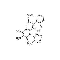 COc1cccc(F)c1-c1c(F)cc2c(Cl)c([N+](=O)[O-])c(=O)n(-c3c(C)ccnc3C(C)C)c2c1F